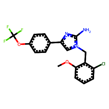 COc1cccc(Cl)c1Cn1cc(-c2ccc(OC(F)(F)F)cc2)nc1N